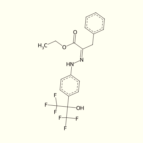 CCOC(=O)/C(Cc1ccccc1)=N\Nc1ccc(C(O)(C(F)(F)F)C(F)(F)F)cc1